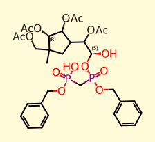 CC(=O)OCC1(C)CC(C(OC(C)=O)[C@@H](O)OP(=O)(CP(=O)(O)OCc2ccccc2)OCc2ccccc2)C(OC(C)=O)[C@@H]1OC(C)=O